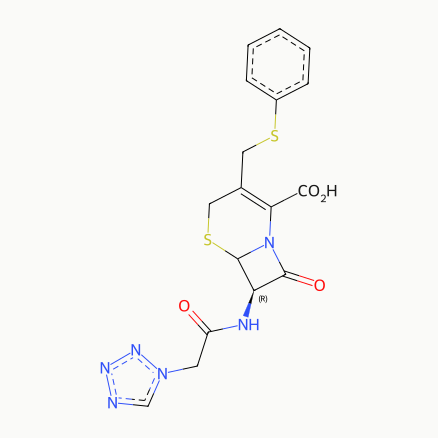 O=C(Cn1cnnn1)N[C@@H]1C(=O)N2C(C(=O)O)=C(CSc3ccccc3)CSC12